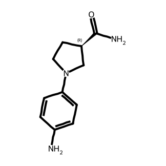 NC(=O)[C@@H]1CCN(c2ccc(N)cc2)C1